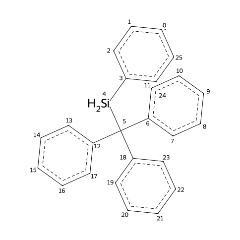 [c]1ccc([SiH2]C(c2ccccc2)(c2ccccc2)c2ccccc2)cc1